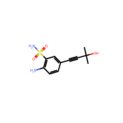 CC(C)(O)C#Cc1ccc(N)c(S(N)(=O)=O)c1